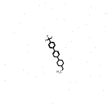 CCC1CCC(C2C=CC(c3ccc(C(F)(F)F)cc3)=CC2)CC1